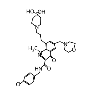 Cn1nc(C(=O)NCc2ccc(Cl)cc2)c(=O)c2cc(CN3CCOCC3)cc(CCCN3CCS(O)(O)CC3)c21